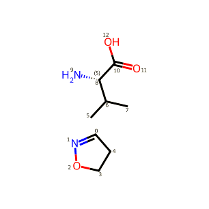 C1=NOCC1.CC(C)[C@H](N)C(=O)O